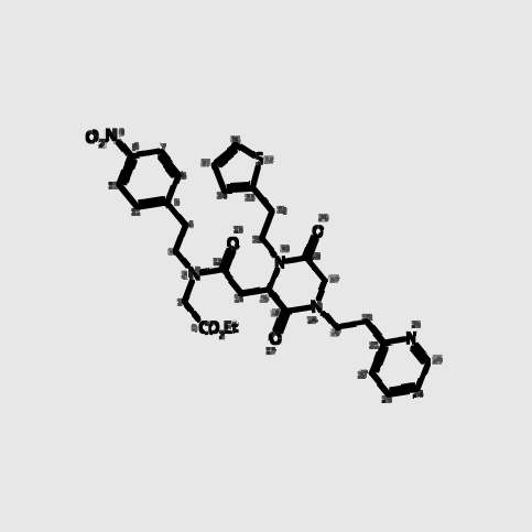 CCOC(=O)CN(CCc1ccc([N+](=O)[O-])cc1)C(=O)CC1C(=O)N(CCc2ccccn2)CC(=O)N1CCc1cccs1